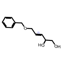 OCC(O)/C=C/COCc1ccccc1